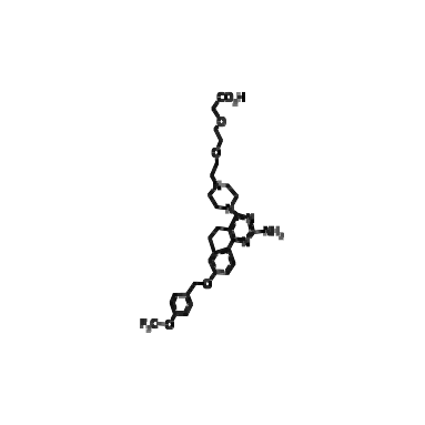 Nc1nc2c(c(N3CCN(CCOCCOCC(=O)O)CC3)n1)CCc1cc(OCc3ccc(OC(F)(F)F)cc3)ccc1-2